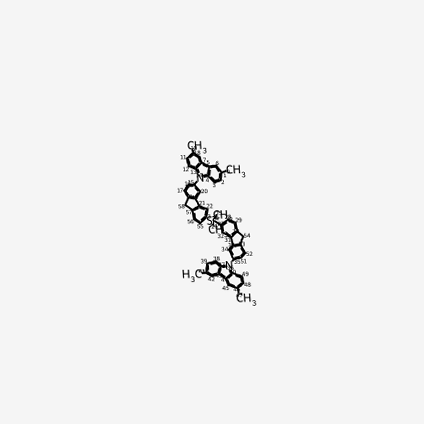 Cc1ccc2c(c1)c1cc(C)ccc1n2-c1ccc2c(c1)-c1cc([Si](C)(C)c3ccc4c(c3)-c3cc(-n5c6ccc(C)cc6c6cc(C)ccc65)ccc3C4)ccc1C2